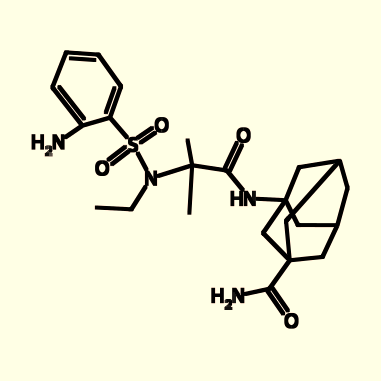 CCN(C(C)(C)C(=O)NC12CC3CC(C1)CC(C(N)=O)(C3)C2)S(=O)(=O)c1ccccc1N